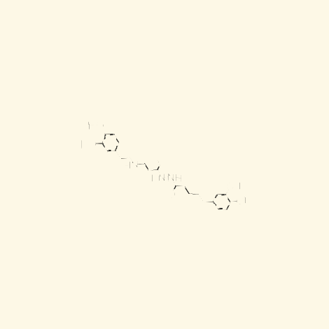 O=C(C=CCCc1ccc(O)c(O)c1)NNC(=O)C=CNCCc1ccc(O)c(O)c1